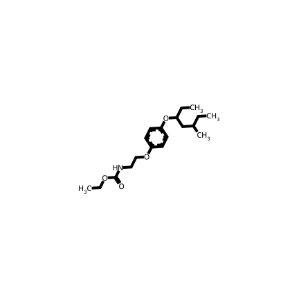 CCOC(=O)NCCOc1ccc(OC(CC)CC(C)CC)cc1